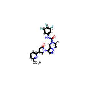 C[C@H]1Cn2ncc(N3CC(c4cccc(C(=O)O)n4)CC3=O)c2CN1C(=O)Nc1cc(F)c(F)c(F)c1